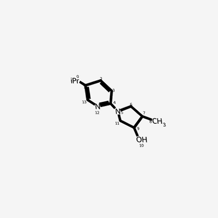 CC(C)c1ccc(N2CC(C)C(O)C2)nc1